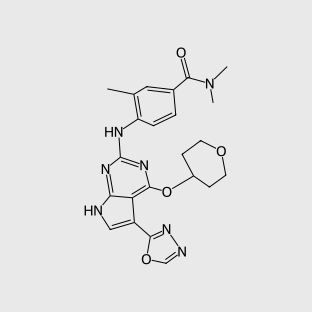 Cc1cc(C(=O)N(C)C)ccc1Nc1nc(OC2CCOCC2)c2c(-c3nnco3)c[nH]c2n1